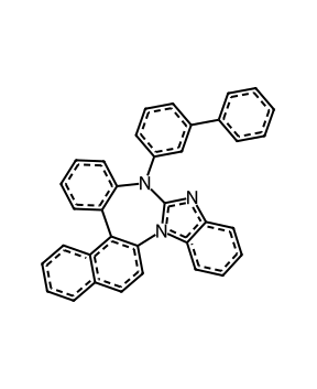 c1ccc(-c2cccc(N3c4ccccc4-c4c(ccc5ccccc45)-n4c3nc3ccccc34)c2)cc1